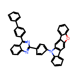 c1ccc(-c2ccc(-c3nc(-c4ccc(-n5c6ccccc6c6cc7oc8ccccc8c7cc65)cc4)nc4ccccc34)cc2)cc1